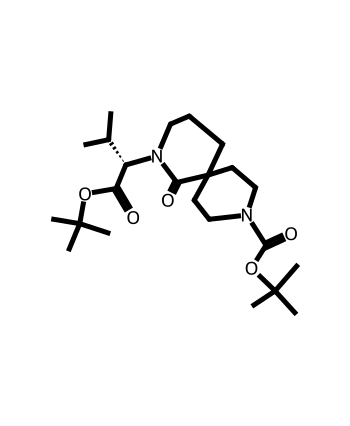 CC(C)[C@@H](C(=O)OC(C)(C)C)N1CCCC2(CCN(C(=O)OC(C)(C)C)CC2)C1=O